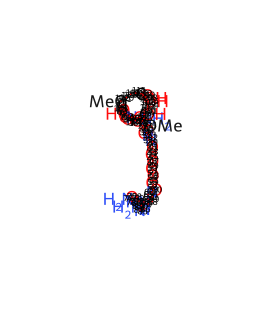 CO[C@H]1C[C@@H]2CC[C@@H](C)[C@@](O)(O2)C(=O)C(=O)N2CCCC[C@H]2C(=O)O[C@H]([C@H](N)C[C@@H]2CC[C@@H](OC(=O)N3CCN(CCOCCOCCOCCOCCOCCOCCC(=O)N4CCc5cc(Cn6nc(-c7ccc8oc(N)nc8c7)c7c(N)ncnc76)ccc5C4)CC3)[C@H](OC)C2)C[C@@H](O)[C@H](C)/C=C(\C)[C@@H](O)[C@@H](O)C(=O)[C@H](C)C[C@H](C)/C=C/C=C/C=C/1C